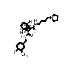 O=C(NCCCCN1CCCC1)[C@H]1[C@H](C(=O)NCc2ccc(F)c(C(F)(F)F)c2)[C@@H]2C=C[C@H]1C21CC1